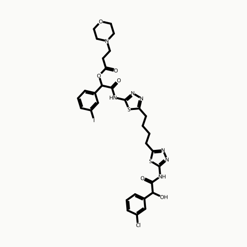 O=C(CCN1CCOCC1)OC(C(=O)Nc1nnc(CCCCc2nnc(NC(=O)C(O)c3cccc(Cl)c3)s2)s1)c1cccc(I)c1